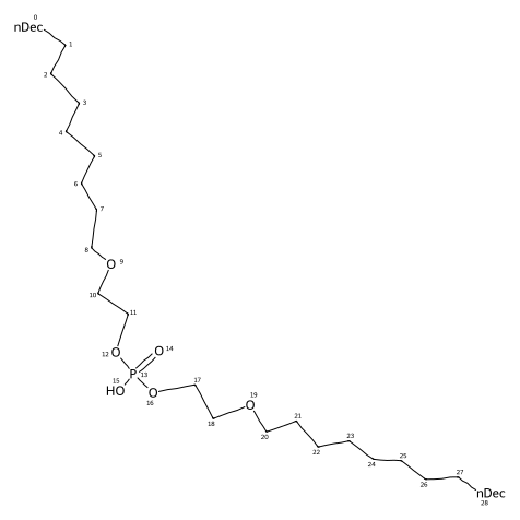 CCCCCCCCCCCCCCCCCCOCCOP(=O)(O)OCCOCCCCCCCCCCCCCCCCCC